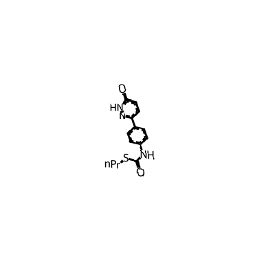 CCCSC(=O)Nc1ccc(-c2ccc(=O)[nH]n2)cc1